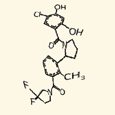 Cc1c(C(=O)N2CCC(F)(F)C2)cccc1C1CCCN1C(=O)c1cc(Cl)c(O)cc1O